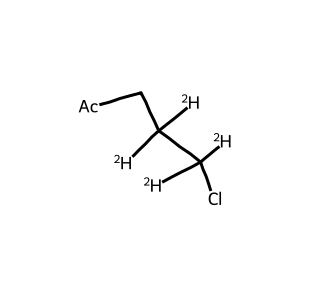 [2H]C([2H])(Cl)C([2H])([2H])CC(C)=O